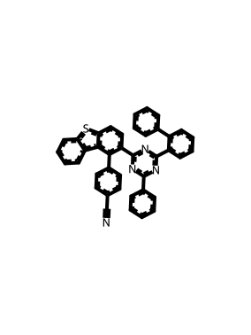 N#Cc1ccc(-c2c(-c3nc(-c4ccccc4)nc(-c4ccccc4-c4ccccc4)n3)ccc3sc4ccccc4c23)cc1